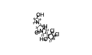 O=C1C[C@H](N2CC[C@H](O)C2)C[C@@H]2C[C@H](c3c(O)ccc(Cl)c3Cl)CN12